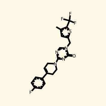 Cc1cc(Cn2cnc(N3CC=C(c4ccc(F)cc4)CC3)nc2=O)sc1C(F)(F)F